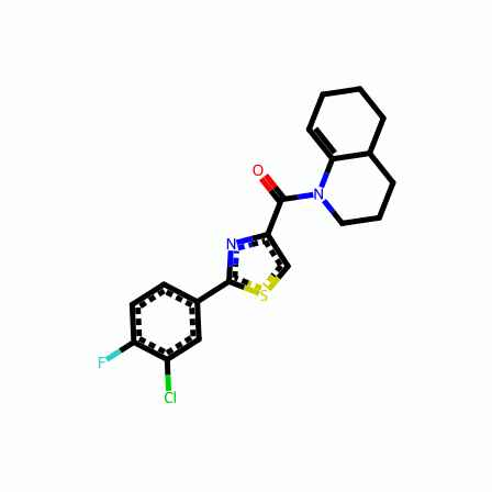 O=C(c1csc(-c2ccc(F)c(Cl)c2)n1)N1CCCC2CCCC=C21